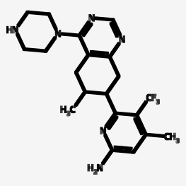 Cc1cc(N)nc(C2Cc3ncnc(N4CCNCC4)c3CC2C)c1C(F)(F)F